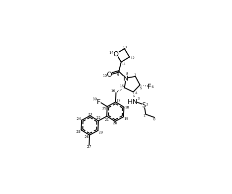 CCSN[C@H]1[C@@H](F)CN(C(=O)C2CCO2)[C@H]1Cc1cccc(-c2cccc(C)c2)c1F